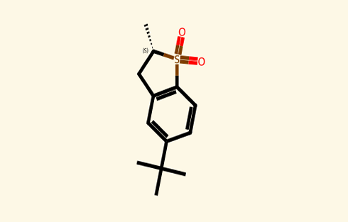 C[C@H]1Cc2cc(C(C)(C)C)ccc2S1(=O)=O